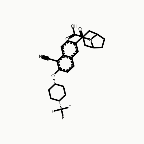 N#Cc1c(O[C@H]2CC[C@@H](C(F)(F)F)CC2)ccc2cc(C(=O)N3C4CCC3CC(C(=O)O)C4)ccc12